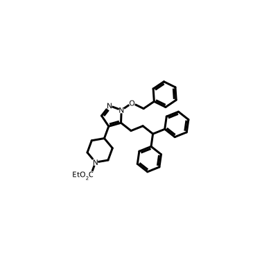 CCOC(=O)N1CCC(c2cnn(OCc3ccccc3)c2CCC(c2ccccc2)c2ccccc2)CC1